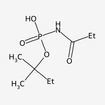 CCC(=O)NP(=O)(O)OC(C)(C)CC